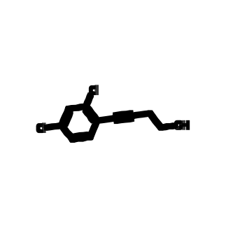 OCCC#Cc1ccc(Cl)cc1Cl